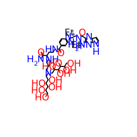 CCn1c(CNC(=O)c2nc3cc[nH]c3nc2N)[n+](CC)c2ccc(C(=O)NCCC(NCCCN(CC(O)C(O)C(O)C(O)CO)CC(O)C(O)C(O)C(O)CO)C(N)=O)cc21